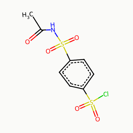 CC(=O)NS(=O)(=O)c1ccc(S(=O)(=O)Cl)cc1